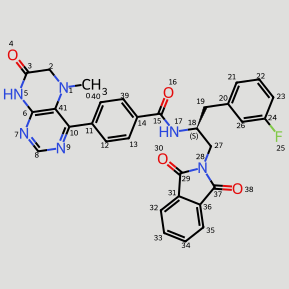 CN1CC(=O)Nc2ncnc(-c3ccc(C(=O)N[C@@H](Cc4cccc(F)c4)CN4C(=O)c5ccccc5C4=O)cc3)c21